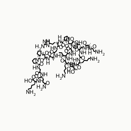 CC[C@H](C)[C@H](NC(=O)[C@H](CCCCN)NC(=O)[C@@H](NC(=O)[C@H](CCCCN)NC(=O)CNC(=O)[C@H](CC(=O)O)NC(=O)[C@H](C)NC(=O)CN)[C@@H](C)O)C(=O)N[C@@H](C)C(=O)N[C@H](C(=O)N1CCC[C@H]1C(=O)N[C@@H](CCCNC(=N)N)C(=O)NCC(=O)N[C@@H](C)C(=O)N[C@@H](C)C(=O)N1CCC[C@H]1C(=O)N1CCC[C@H]1C(=O)NCC(=O)N[C@@H](CCC(N)=O)C(=O)N[C@@H](CCCCN)C(=O)O)[C@@H](C)O